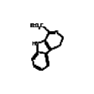 CCOC(=O)C1=NCCc2c1[nH]c1ccccc21